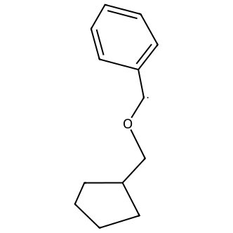 [CH](OCC1CCCC1)c1ccccc1